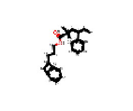 CCC(CC(C)(C)C(=O)OCCCC1Cc2ccccc21)c1ccccc1